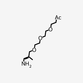 CC(=O)CCOCCOCCOC/C(C)=C/N